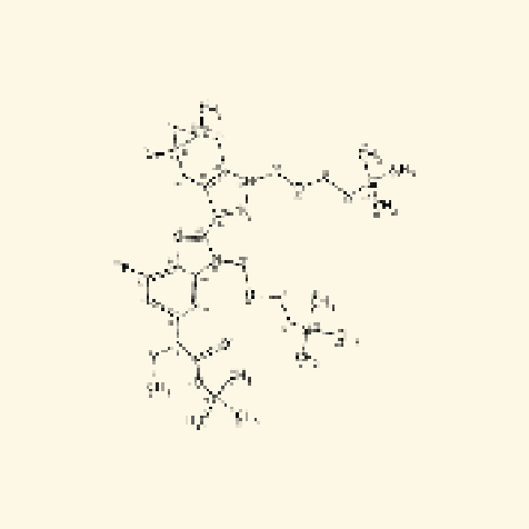 CCN(C(=O)OC(C)(C)C)c1cc(F)c2nc(-c3nn(COCC[Si](C)(C)C)c4c3C[C@@H]3C[C@]3(C)C4)n(COCC[Si](C)(C)C)c2c1